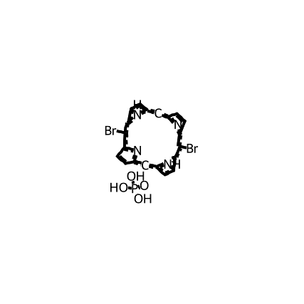 Brc1c2nc(cc3ccc([nH]3)c(Br)c3nc(cc4ccc1[nH]4)C=C3)C=C2.O=P(O)(O)O